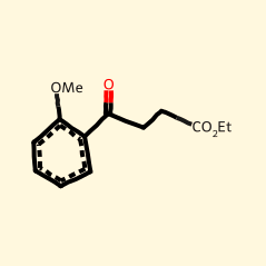 CCOC(=O)CCC(=O)c1ccccc1OC